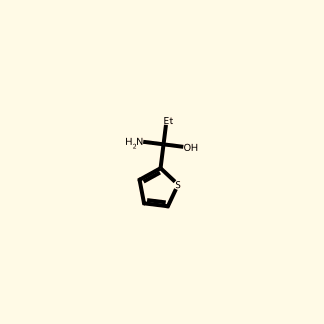 CCC(N)(O)c1cccs1